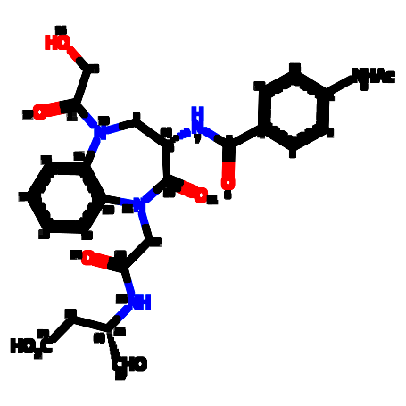 CC(=O)Nc1ccc(C(=O)N[C@H]2CN(C(=O)CO)c3ccccc3N(CC(=O)N[C@H](C=O)CC(=O)O)C2=O)cc1